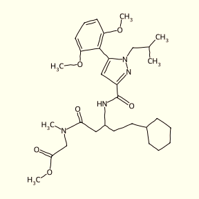 COC(=O)CN(C)C(=O)CC(CCC1CCCCC1)NC(=O)c1cc(-c2c(OC)cccc2OC)n(CC(C)C)n1